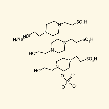 O=P([O-])([O-])[O-].O=S(=O)(O)CCN1CCN(CCO)CC1.O=S(=O)(O)CCN1CCN(CCO)CC1.O=S(=O)(O)CCN1CCN(CCO)CC1.[Na+].[Na+].[Na+]